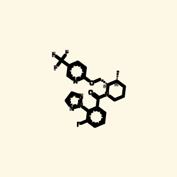 C[C@@H]1CCCN(C(=O)c2cccc(F)c2-n2nccn2)[C@@H]1COc1ccc(C(F)(F)F)cn1